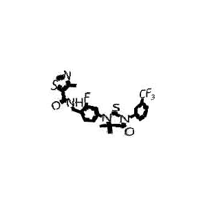 Cc1ncsc1C(=O)NCc1ccc(N2C(=S)N(c3cccc(C(F)(F)F)c3)C(=O)C2(C)C)cc1F